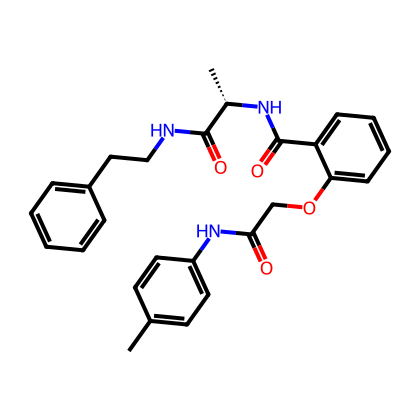 Cc1ccc(NC(=O)COc2ccccc2C(=O)N[C@@H](C)C(=O)NCCc2ccccc2)cc1